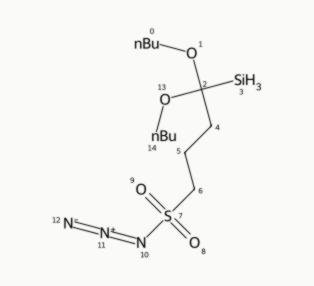 CCCCOC([SiH3])(CCCS(=O)(=O)N=[N+]=[N-])OCCCC